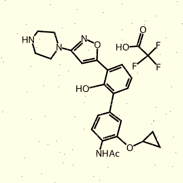 CC(=O)Nc1ccc(-c2cccc(-c3cc(N4CCNCC4)no3)c2O)cc1OC1CC1.O=C(O)C(F)(F)F